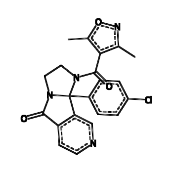 Cc1noc(C)c1C(=O)N1CCN2C(=O)c3ccncc3C21c1ccc(Cl)cc1